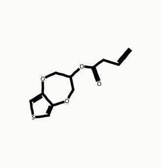 C=CCC(=O)OC1COc2cscc2OC1